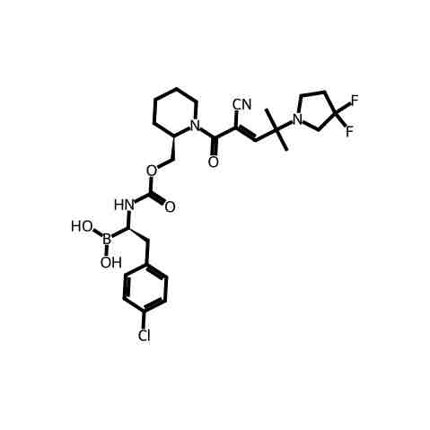 CC(C)(/C=C(\C#N)C(=O)N1CCCC[C@@H]1COC(=O)N[C@@H](Cc1ccc(Cl)cc1)B(O)O)N1CCC(F)(F)C1